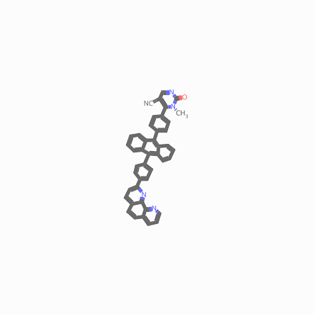 Cn1c(-c2ccc(-c3c4ccccc4c(-c4ccc(-c5ccc6ccc7cccnc7c6n5)cc4)c4ccccc34)cc2)c(C#N)cnc1=O